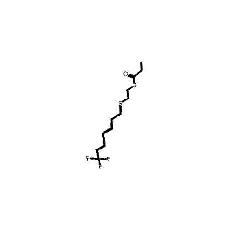 CCC(=O)OCCSCCCCCCC(F)(F)F